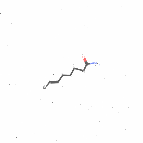 CCC=CCCCCC(N)=O